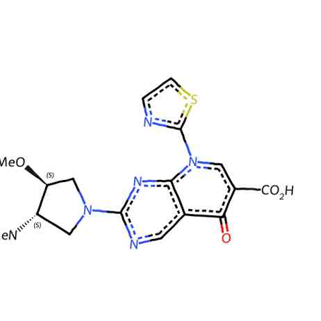 CN[C@H]1CN(c2ncc3c(=O)c(C(=O)O)cn(-c4nccs4)c3n2)C[C@@H]1OC